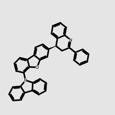 c1ccc(C2=Nc3ccccc3[C@H](c3ccc4c(c3)oc3c(-n5c6ccccc6c6ccccc65)cccc34)C2)cc1